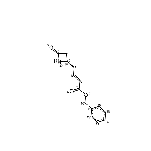 O=C1C[C@@H](CC=CC(=O)OCc2ccccc2)N1